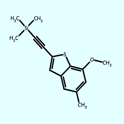 COc1cc(C)cc2cc(C#C[Si](C)(C)C)sc12